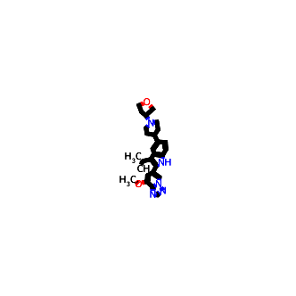 COc1cc(-c2[nH]c3ccc(C4CCN(C5CCOC5)CC4)cc3c2C(C)C)cn2ncnc12